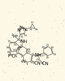 [2H]C(Nc1cc(Cl)c2ncc(C#N)c(NC(CC#N)c3ccccc3)c2c1)(c1ccc(F)cc1)c1cn(C2CC2)nn1